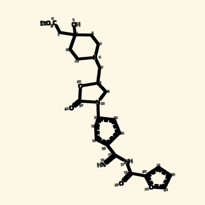 CCOC(=O)CC1(O)CCN(CC2CN(c3ccc(C(=N)NC(=O)c4ccco4)cc3)C(=O)O2)CC1